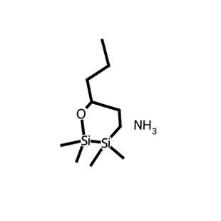 CCCC1CC[Si](C)(C)[Si](C)(C)O1.N